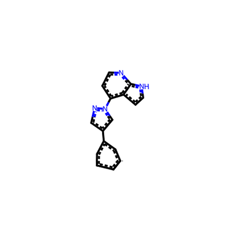 [c]1cccc(-c2cnn(-c3ccnc4[nH]ccc34)c2)c1